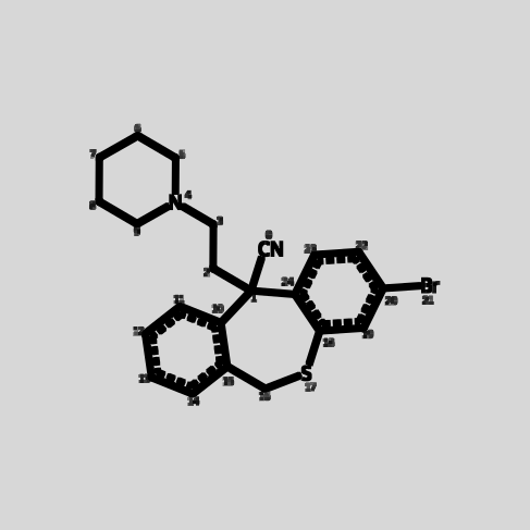 N#CC1(CCN2CCCCC2)c2ccccc2CSc2cc(Br)ccc21